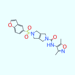 Cc1noc(C)c1NC(=O)N1CC2=C(C1)CN(S(=O)(=O)c1ccc3occc3c1)C2